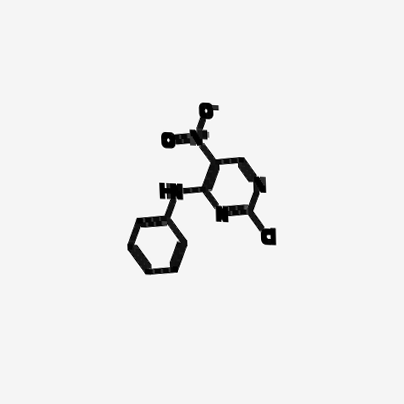 O=[N+]([O-])c1cnc(Cl)nc1Nc1ccccc1